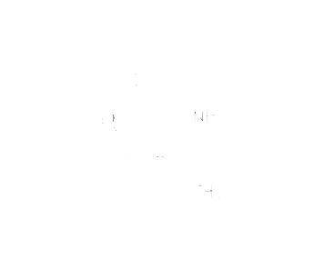 CC1COSCN1